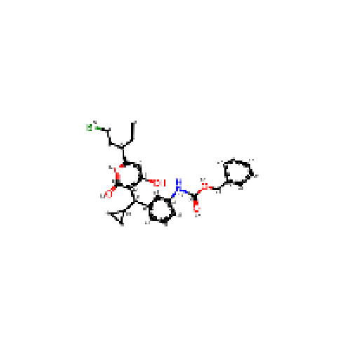 CCC(CCBr)c1cc(O)c(C(c2cccc(NC(=O)OCc3ccccc3)c2)C2CC2)c(=O)o1